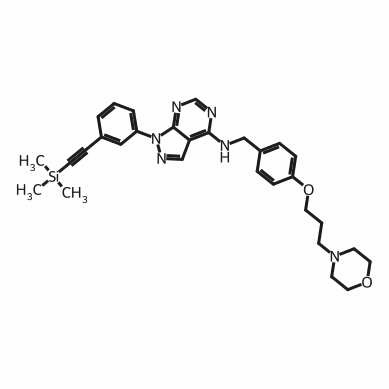 C[Si](C)(C)C#Cc1cccc(-n2ncc3c(NCc4ccc(OCCCN5CCOCC5)cc4)ncnc32)c1